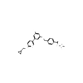 CS(=O)(=O)NC(=O)c1ccc(COc2cc(Br)cc(-c3ccc(OCC4CC4)nc3)c2)cc1